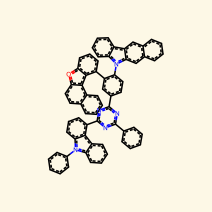 c1ccc(-c2nc(-c3ccc(-n4c5ccccc5c5cc6ccccc6cc54)c(-c4cccc5oc6ccc7ccccc7c6c45)c3)nc(-c3cccc4c3c3ccccc3n4-c3ccccc3)n2)cc1